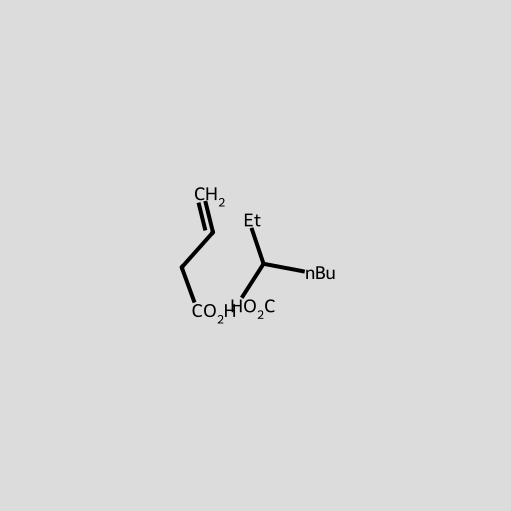 C=CCC(=O)O.CCCCC(CC)C(=O)O